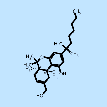 CCCCCCC(C)(C)c1cc(O)c2c(c1)OC(C)(C)[C@]1(C)CC=C(CO)C[C@@]21C